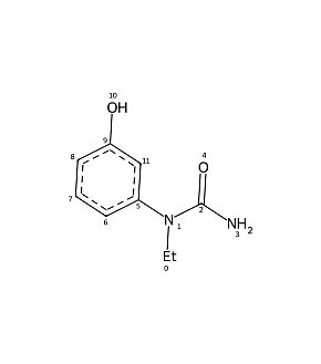 CCN(C(N)=O)c1cccc(O)c1